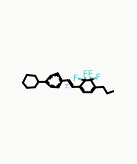 CCCC1=CC=C(/C=C/c2ccc(C3CCCCC3)cc2)C(F)(F)C1(F)F